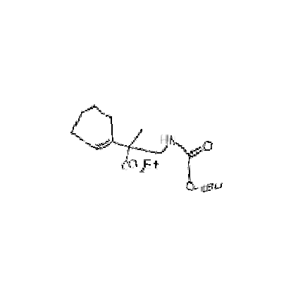 CCOC(=O)C(C)(CNC(=O)OC(C)(C)C)C1=CCCCC1